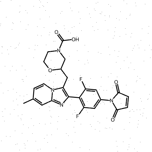 Cc1ccn2c(CC3CN(C(=O)O)CCO3)c(-c3c(F)cc(N4C(=O)C=CC4=O)cc3F)nc2c1